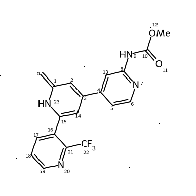 C=C1C=C(c2ccnc(NC(=O)OC)c2)C=C(c2cccnc2C(F)(F)F)N1